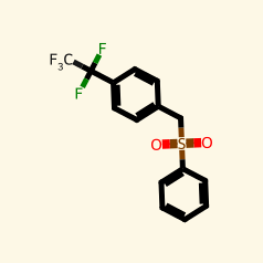 O=S(=O)(Cc1ccc(C(F)(F)C(F)(F)F)cc1)c1ccccc1